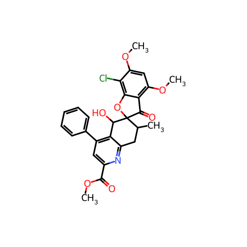 COC(=O)c1cc(-c2ccccc2)c2c(n1)CC(C)C1(Oc3c(Cl)c(OC)cc(OC)c3C1=O)C2O